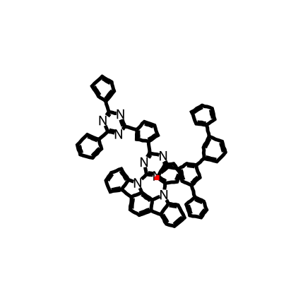 c1ccc(-c2cccc(-c3cc(-c4ccccc4)cc(-c4nc(-c5cccc(-c6nc(-c7ccccc7)nc(-c7ccccc7)n6)c5)nc(-n5c6ccccc6c6ccc7c8ccccc8n(-c8ccccc8)c7c65)n4)c3)c2)cc1